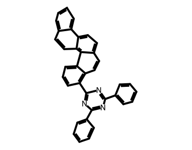 c1ccc(-c2nc(-c3ccccc3)nc(-c3cccc4c3ccc3ccc5c6ccccc6ccc5c34)n2)cc1